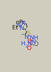 CCCN(CC)c1nccc(-c2sc(NC(=O)N3CCC[C@@]3(C)C(N)=O)nc2C)n1